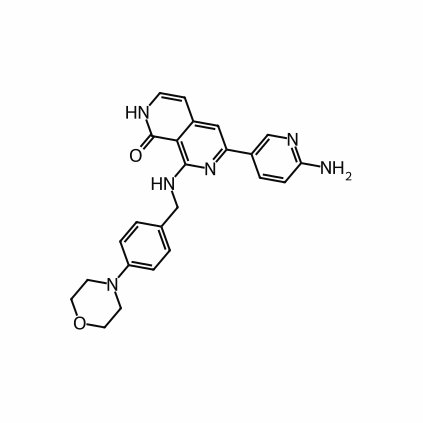 Nc1ccc(-c2cc3cc[nH]c(=O)c3c(NCc3ccc(N4CCOCC4)cc3)n2)cn1